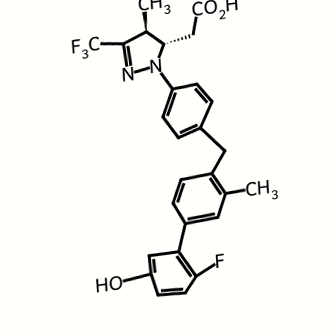 Cc1cc(-c2cc(O)ccc2F)ccc1Cc1ccc(N2N=C(C(F)(F)F)[C@@H](C)[C@@H]2CC(=O)O)cc1